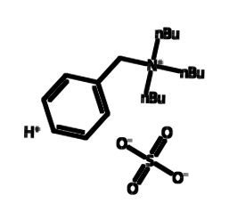 CCCC[N+](CCCC)(CCCC)Cc1ccccc1.O=S(=O)([O-])[O-].[H+]